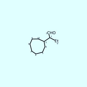 CCC(C=O)C1CCCCCCC1